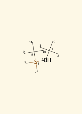 CC(C)(C)BS(C)(C)C(C)(C)C